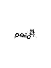 CC(C)(CO)NC(=O)[C@H]1CCC[C@@H](NC(=O)c2ccc(-c3cccc(F)c3)nc2)C1